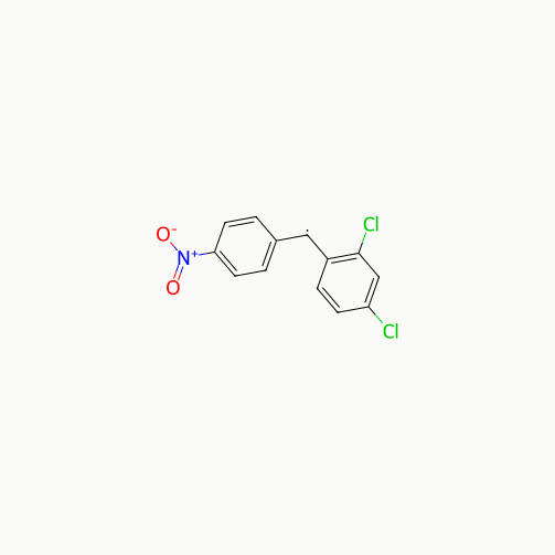 O=[N+]([O-])c1ccc([CH]c2ccc(Cl)cc2Cl)cc1